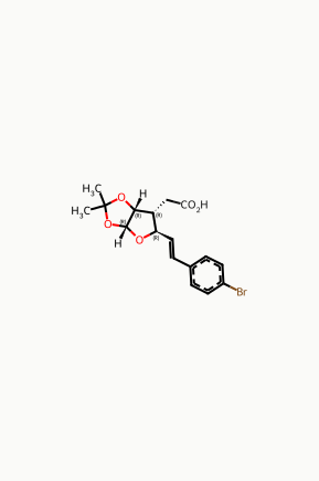 CC1(C)O[C@H]2O[C@H](C=Cc3ccc(Br)cc3)[C@@H](CC(=O)O)[C@H]2O1